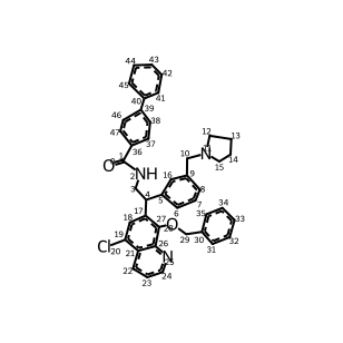 O=C(NCC(c1cccc(CN2CCCC2)c1)c1cc(Cl)c2cccnc2c1OCc1ccccc1)c1ccc(-c2ccccc2)cc1